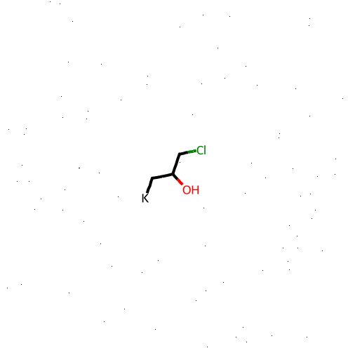 OC(CCl)[CH2][K]